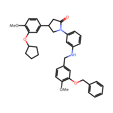 COc1ccc(CNc2cccc(N3CC(c4ccc(OC)c(OC5CCCC5)c4)CC3=O)c2)cc1OCc1ccccc1